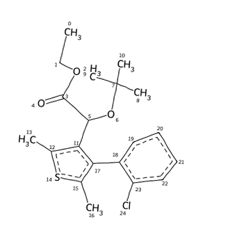 CCOC(=O)C(OC(C)(C)C)c1c(C)sc(C)c1-c1ccccc1Cl